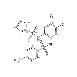 O=C(O)c1ccc(S(=O)(=O)Nc2cc(Cl)c(Cl)cc2NS(=O)(=O)c2cccs2)cc1